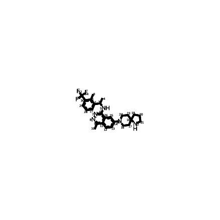 Cc1c(C(C)Nc2nnc(C)c3ccc(N4CCC5(CCCN5)CC4)cc23)cccc1C(F)(F)F